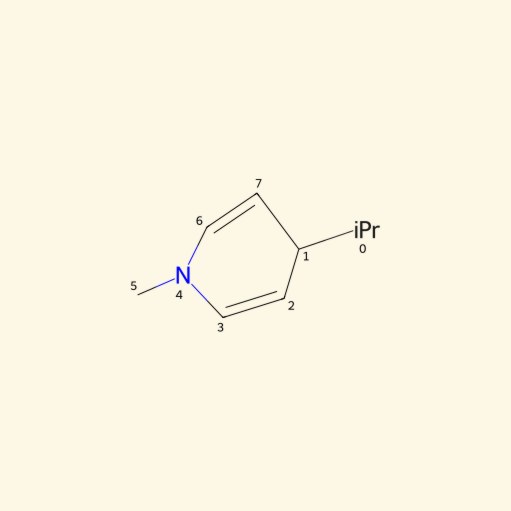 CC(C)C1C=CN(C)C=C1